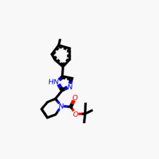 Cc1ccc(-c2cnc(C3CCCCN3C(=O)OC(C)(C)C)[nH]2)cc1